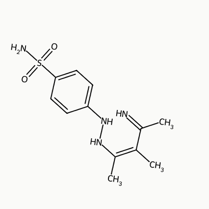 CC(=N)C(C)=C(C)NNc1ccc(S(N)(=O)=O)cc1